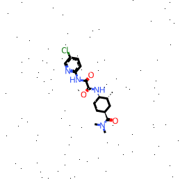 C[C@@H]1C[C@@H](C(=O)N(C)C)CC[C@@H]1NC(=O)C(=O)Nc1ccc(Cl)cn1